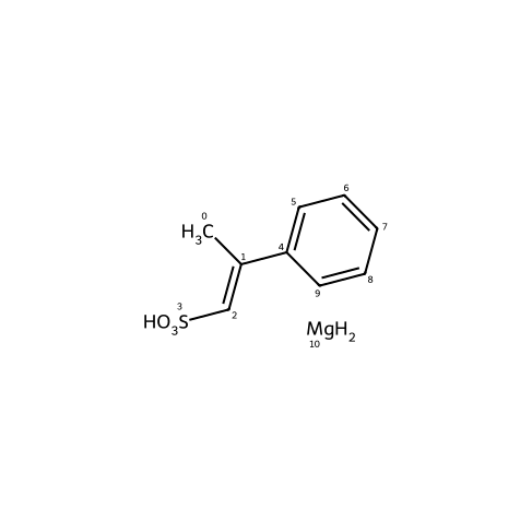 CC(=CS(=O)(=O)O)c1ccccc1.[MgH2]